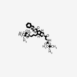 CC(C)(C)OC(=O)NCC(=O)N1C[C@@H]2C[C@@](N=[N+]=[N-])(C(=O)OCc3ccccc3)C(CCCB3OC(C)(C)C(C)(C)O3)[C@@H]2C1